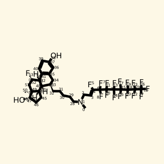 CN(CC=C(F)C(F)(F)C(F)(F)C(F)(F)C(F)(F)C(F)(F)C(F)(F)C(F)(F)F)CCCCC[C@@H]1Cc2cc(O)ccc2[C@@H]2[C@@H]1[C@@H]1CC[C@H](O)[C@@]1(C)C[C@@H]2F